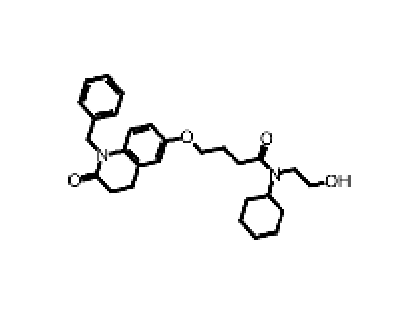 O=C1CCc2cc(OCCCC(=O)N(CCO)C3CCCCC3)ccc2N1Cc1ccccc1